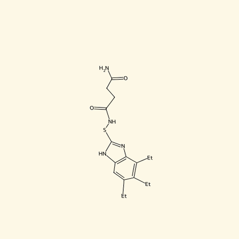 CCc1cc2[nH]c(SNC(=O)CCC(N)=O)nc2c(CC)c1CC